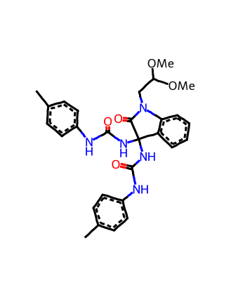 COC(CN1C(=O)C(NC(=O)Nc2ccc(C)cc2)(NC(=O)Nc2ccc(C)cc2)c2ccccc21)OC